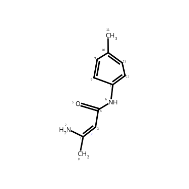 C/C(N)=C/C(=O)Nc1ccc(C)cc1